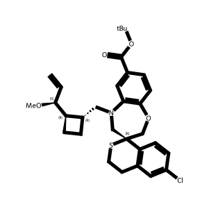 C=C[C@H](OC)[C@@H]1CC[C@H]1CN1C[C@]2(COc3ccc(C(=O)OC(C)(C)C)cc31)SCCc1cc(Cl)ccc12